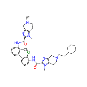 CC(C)N1CCc2c(nc(C(=O)Nc3cccc(-c4cccc(NC(=O)c5nc6c(n5C)CCN(CCC5CCCCC5)C6)c4Cl)c3C#N)n2C)C1